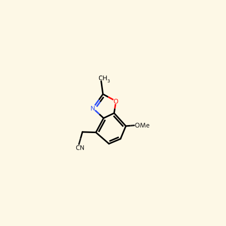 COc1ccc(CC#N)c2nc(C)oc12